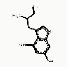 COc1cc([N+](=O)[O-])c2c(CC(CN)C(=O)O)c[nH]c2c1